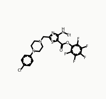 CCNc1nc(CN2CCN(c3ccc(Cl)cc3)CC2)sc1C(=O)Oc1c(F)c(F)c(F)c(F)c1F